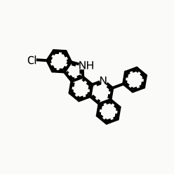 Clc1ccc2[nH]c3c(ccc4c5ccccc5c(-c5ccccc5)nc43)c2c1